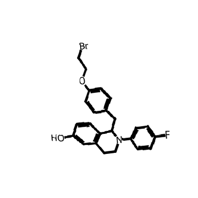 Oc1ccc2c(c1)CCN(c1ccc(F)cc1)C2Cc1ccc(OCCBr)cc1